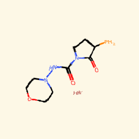 Br.O=C(NN1CCOCC1)N1CCC(P)C1=O